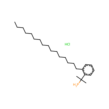 CCCCCCCCCCCCCCCCc1ccccc1C(C)(C)P.Cl